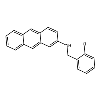 Clc1ccccc1CNc1ccc2cc3ccccc3cc2c1